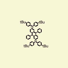 CC(C)(C)c1ccc(N(c2ccc(C(C)(C)C)cc2)c2ccc3c(-c4ccccc4)c4cc(N(c5ccc(C(C)(C)C)cc5)c5ccc(C(C)(C)C)cc5)ccc4c(-c4ccccc4)c3c2)cc1